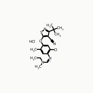 CCN(C)/C=N\c1cc(C)c(Oc2snc(C(C)(C)C)c2C#N)cc1Cl.Cl